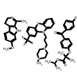 CC(C)OC(=O)C(C)(C)Oc1ccc(C(=O)c2ccc(Cl)cc2)cc1.CN1CCN(CCCN2c3ccccc3Sc3ccc(C(F)(F)F)cc32)CC1.COc1ccc2c3c([nH]c2c1)C(C)=NCC3